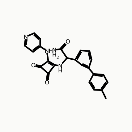 Cc1ccc(-c2cccc(C(Nc3c(Nc4ccncc4)c(=O)c3=O)C(N)=O)c2)cc1